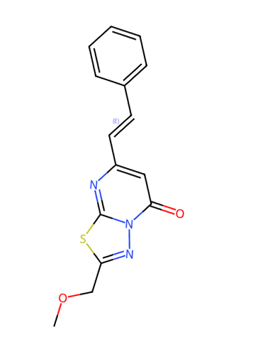 COCc1nn2c(=O)cc(/C=C/c3ccccc3)nc2s1